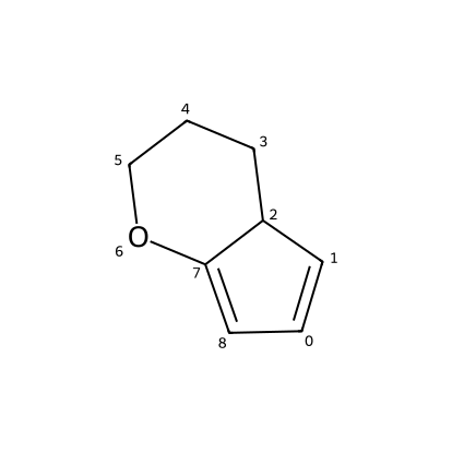 C1=CC2CCCOC2=C1